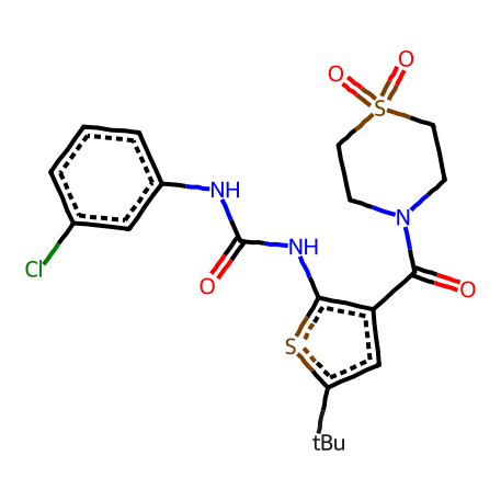 CC(C)(C)c1cc(C(=O)N2CCS(=O)(=O)CC2)c(NC(=O)Nc2cccc(Cl)c2)s1